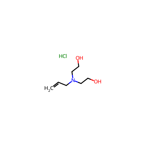 C=CCN(CCO)CCO.Cl